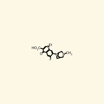 CCn1cc(C(=O)O)c(=O)c2cc(F)c(N3CC4CC3CN(C)C4)cc21